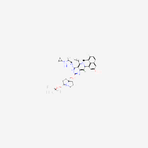 C#Cc1c(F)ccc2cc(O)cc(-c3nc4c5c(nc(OC[C@@]67CCCN6[C@H](COC(C)(C(F)(F)F)C(F)(F)F)CC7)nc5c3F)N[C@@H]([C@H](CC)NC3CC3)CC4)c12